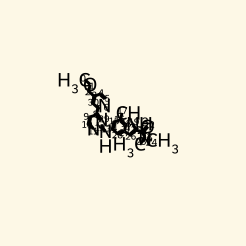 COCc1ccnc(-c2ccnc(Nc3cc(C)c4[nH]c(C(=O)N(C)C)cc4c3)n2)c1